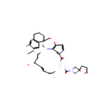 CC[C@H]1CN2C[C@@]3(CCCc4cc(Cl)ccc43)COc3ccc(cc32)C(=O)N=[S@](=O)(NC(=O)N2CC3(CCCO3)C2)C[C@@H](C)C/C=C/[C@H](OC)[C@@H]1C